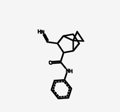 N=CC1C(C(=O)Nc2ccccc2)C2CCC1C21CC1